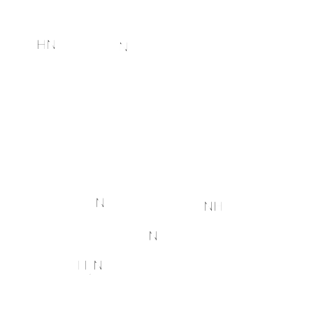 Nc1nc(NC2CCCCC2)c2cc(-c3ccccc3N3CCNCC3)ccc2n1